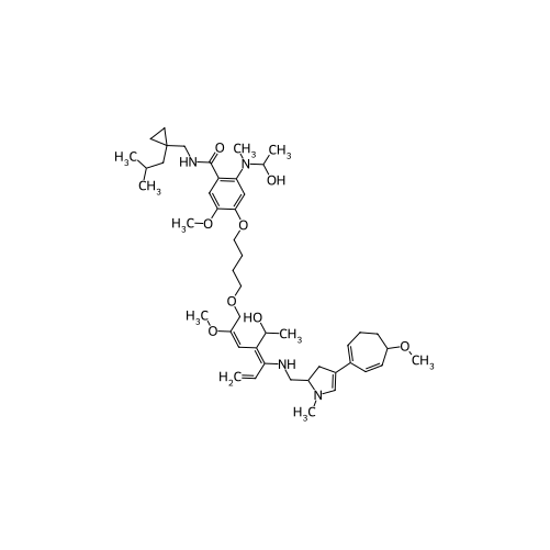 C=C/C(NCC1CC(C2=CCCC(OC)C=C2)=CN1C)=C(\C=C(/COCCCCOc1cc(N(C)C(C)O)c(C(=O)NCC2(CC(C)C)CC2)cc1OC)OC)C(C)O